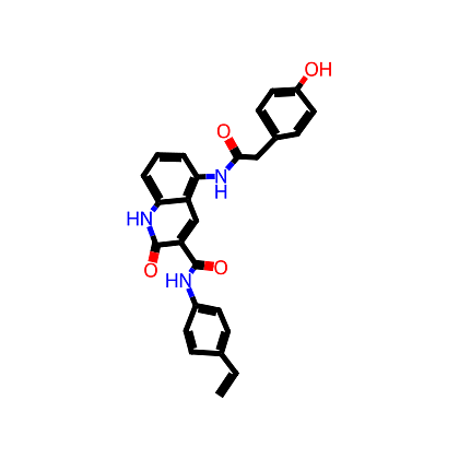 C=Cc1ccc(NC(=O)c2cc3c(NC(=O)Cc4ccc(O)cc4)cccc3[nH]c2=O)cc1